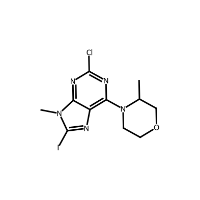 CC1COCCN1c1nc(Cl)nc2c1nc(I)n2C